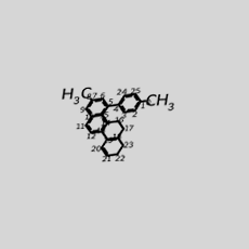 Cc1ccc(-c2cc(C)cc3ccc4c(c23)CCC2=C4C=CCC2)cc1